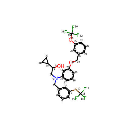 OC(CN(Cc1cccc(SC(F)(F)F)c1)c1cccc(OCc2cccc(OC(F)(F)F)c2)c1)C1CC1